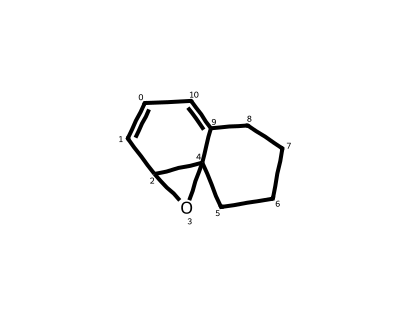 C1=CC2OC23CCCCC3=C1